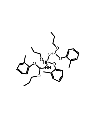 CCCOP(N[PH](N=[PH](OCCC)Oc1ccccc1C)(OCCC)Oc1ccccc1C)Oc1ccccc1C